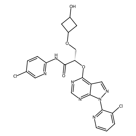 O=C(Nc1ccc(Cl)cn1)[C@H](COC1CC(O)C1)Oc1ncnc2c1cnn2-c1ncccc1Cl